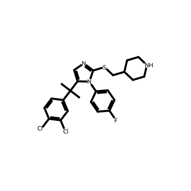 CC(C)(c1ccc(Cl)c(Cl)c1)c1cnc(SCC2CCNCC2)n1-c1ccc(F)cc1